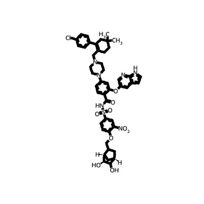 CC1(C)CCC(CN2CCN(c3ccc(C(=O)NS(=O)(=O)c4ccc(OCC5C[C@@H]6C[C@H]5[C@H](O)C6O)c([N+](=O)[O-])c4)c(Oc4cnc5[nH]ccc5c4)c3)CC2)=C(c2ccc(Cl)cc2)C1